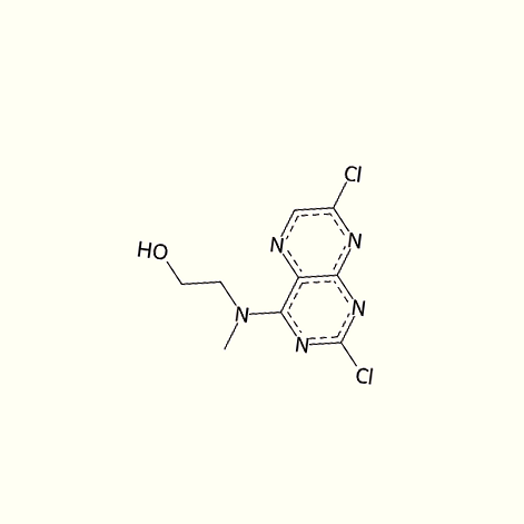 CN(CCO)c1nc(Cl)nc2nc(Cl)cnc12